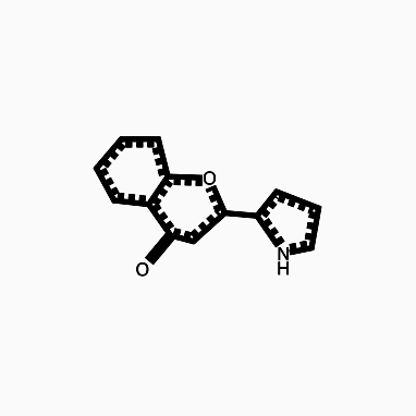 O=c1cc(-c2ccc[nH]2)oc2ccccc12